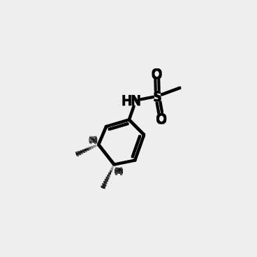 C[C@@H]1C=C(NS(C)(=O)=O)C=C[C@@H]1C